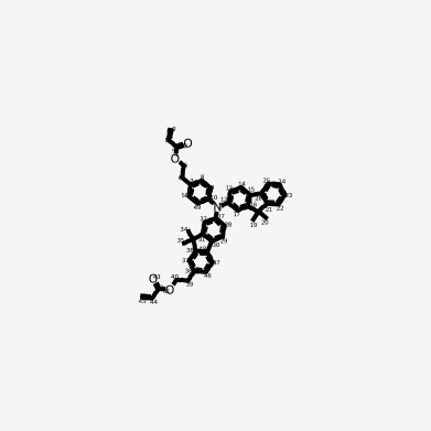 C=CC(=O)OCCc1ccc(N(c2ccc3c(c2)C(C)(C)c2ccccc2-3)c2ccc3c(c2)C(C)(C)c2cc(CCOC(=O)C=C)ccc2-3)cc1